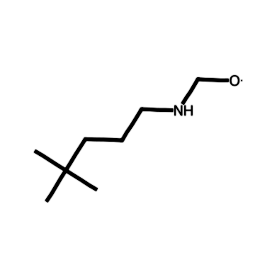 CC(C)(C)CCCNC[O]